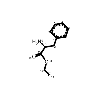 N[C@@H](Cc1ccccc1)C(=O)OCF